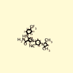 C[C@@H]1C[C@@H](C)N1[C@H]1CC[C@H](n2cc(C(N)=O)c(Nc3ccc(C(F)(F)F)cc3)n2)[C@@H](C#N)C1